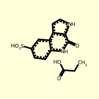 CCC(=O)O.O=c1[nH]c2ccc(S(=O)(=O)O)cc2c2cc[nH]c12